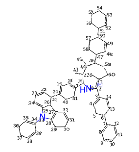 C/C1=C(/C2=CCC(c3ccccc3)C=C2)NC(C2=CC=C(C3C=CC=C4C3C3=C(CCC=C3)N4C3=CCCC=C3)CC2)C(C)C(C)C(C2C=CC(C3C=CCCC3)CC2)CC1